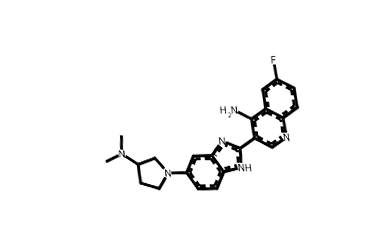 CN(C)C1CCN(c2ccc3[nH]c(-c4cnc5ccc(F)cc5c4N)nc3c2)C1